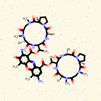 CC[C@H]1C(=O)NC(C(C)OC(=O)c2cc(N)c(C)c3oc4c(C)c(=O)c(N)c(C(=O)OC(C)C5NC(=O)[C@H](C(C)C)N(C)C(=O)CN(C)C(=O)[C@@H]6CCCN6C(=O)[C@@H](C(C)C)NC5=O)c-4nc23)C(=O)N[C@H](C(C)C)C(=O)N2CCC[C@H]2C(=O)N(C)CC(=O)N1C